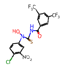 O=C(NC(=S)N(O)c1ccc(Cl)c([N+](=O)[O-])c1)c1cc(C(F)(F)F)cc(C(F)(F)F)c1